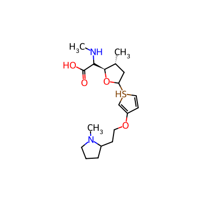 CNC(C(=O)O)[C@@H]1OC([SH]2C=CC(OCCC3CCCN3C)=C2)C[C@H]1C